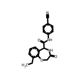 CCc1cccc2c1OCC(=O)NC2C(=O)Nc1ccc(C#N)cc1